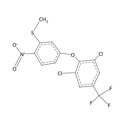 CSc1cc(Oc2c(Cl)cc(C(F)(F)F)cc2Cl)ccc1[N+](=O)[O-]